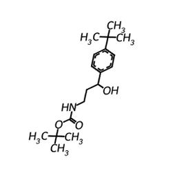 CC(C)(C)OC(=O)NCCC(O)c1ccc(C(C)(C)C)cc1